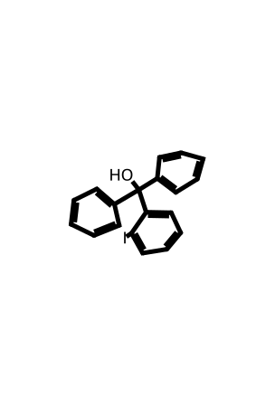 OC(c1ccccc1)(c1ccccc1)c1ccccc1I